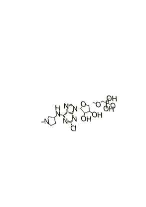 CN1CCC(Nc2nc(Cl)nc3c2ncn3[C@@H]2O[C@H](COCP(=O)(O)O)[C@@H](O)[C@H]2O)C1